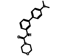 CN(C)c1ccc(-c2cccc(NC(=O)N3CCOCC3)c2)cc1